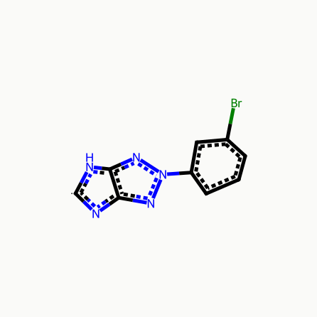 Brc1cccc(-n2nc3n[c][nH]c3n2)c1